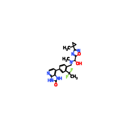 CN(Cc1ccc(-c2ccnc3[nH]c(=O)[nH]c23)cc1C(C)(F)F)C(O)c1nc(C2(C)CC2)no1